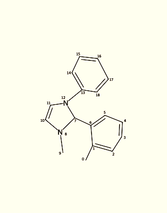 Cc1ccccc1C1N(C)C=CN1c1ccccc1